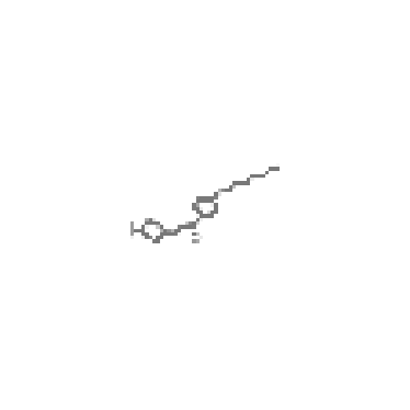 CCCCCCCCc1ccc(C(=S)C=Cc2ccc(I)cc2)cc1